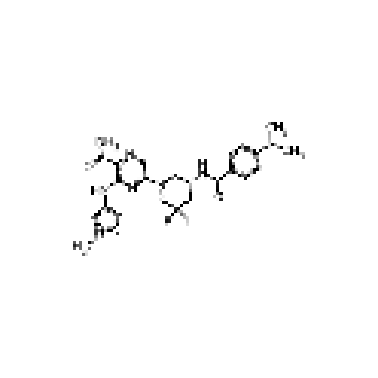 CN(C)c1ccc(C(=O)N[C@H]2CN(c3cnc(C(N)=O)c(Nc4cnn(C)c4)n3)CC(F)(F)C2)cc1